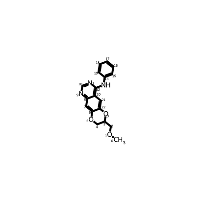 COCC1COc2cc3ncnc(Nc4ccccc4)c3cc2O1